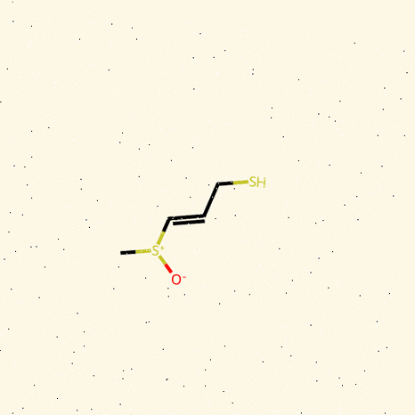 C[S+]([O-])/C=C/CS